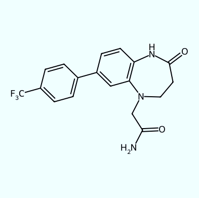 NC(=O)CN1CCC(=O)Nc2ccc(-c3ccc(C(F)(F)F)cc3)cc21